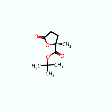 CC(C)(C)OC(=O)[C@@]1(C)CCC(=O)O1